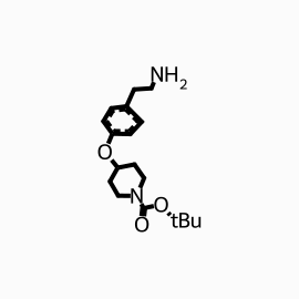 CC(C)(C)OC(=O)N1CCC(Oc2ccc(CCN)cc2)CC1